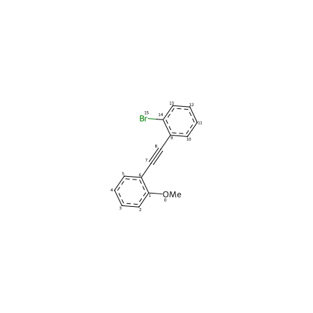 COc1ccccc1C#Cc1ccccc1Br